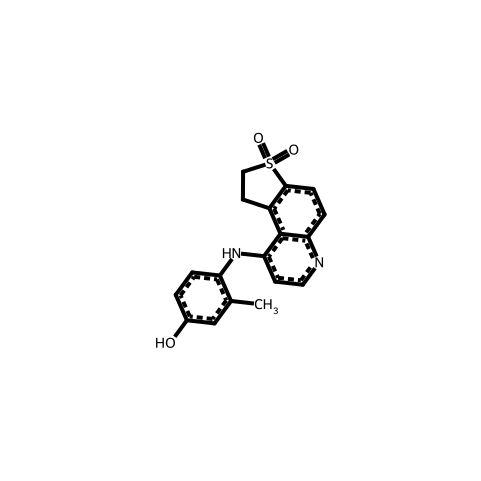 Cc1cc(O)ccc1Nc1ccnc2ccc3c(c12)CCS3(=O)=O